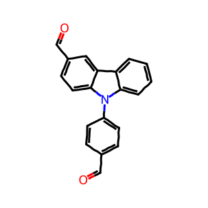 O=Cc1ccc(-n2c3ccccc3c3cc(C=O)ccc32)cc1